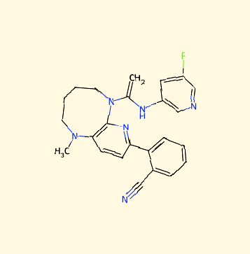 C=C(Nc1cncc(F)c1)N1CCCCN(C)c2ccc(-c3ccccc3C#N)nc21